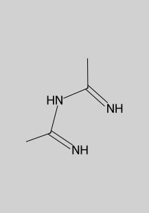 CC(=N)NC(C)=N